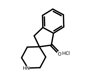 Cl.O=C1c2ccccc2CC12CCNCC2